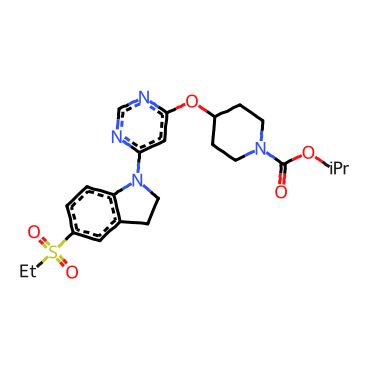 CCS(=O)(=O)c1ccc2c(c1)CCN2c1cc(OC2CCN(C(=O)OC(C)C)CC2)ncn1